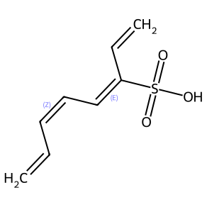 C=C/C=C\C=C(/C=C)S(=O)(=O)O